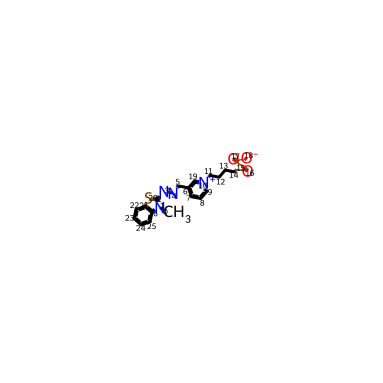 Cn1c(=NN=Cc2ccc[n+](CCCCS(=O)(=O)[O-])c2)sc2ccccc21